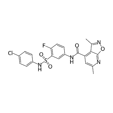 Cc1cc(C(=O)Nc2ccc(F)c(S(=O)(=O)Nc3ccc(Cl)cc3)c2)c2c(C)noc2n1